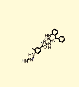 Cc1cc(-c2nnc(NC3N=C(c4ccccc4)c4ccccc4NC3=O)o2)ccc1N/C=N\C=N